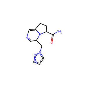 NC(=O)C1CCC2=CN=CC(Cn3ccnn3)N21